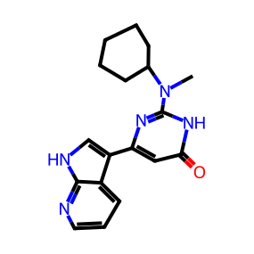 CN(c1nc(-c2c[nH]c3ncccc23)cc(=O)[nH]1)C1CCCCC1